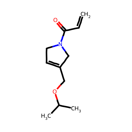 C=CC(=O)N1CC=C(COC(C)C)C1